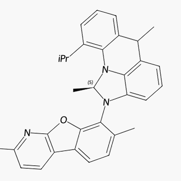 Cc1ccc2c(n1)oc1c(N3c4cccc5c4N(c4c(C(C)C)cccc4C5C)[C@@H]3C)c(C)ccc12